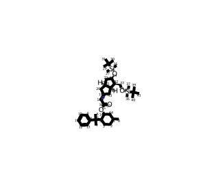 CC1CCC(C(C)(C)c2ccccc2)C(OC(=O)/C=C2/C[C@H]3C[C@@H](O[Si](C)(C)C(C)(C)C)[C@@H](CO[Si](C)(C)C(C)(C)C)[C@H]3C2)C1